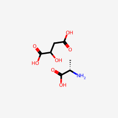 C[C@H](N)C(=O)O.O=C(O)CC(O)C(=O)O